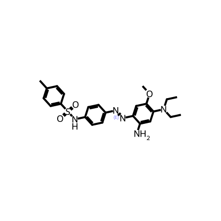 CCN(CC)c1cc(N)c(/N=N/c2ccc(NS(=O)(=O)c3ccc(C)cc3)cc2)cc1OC